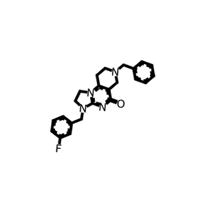 O=c1nc2n(c3c1CN(Cc1ccccc1)CC3)CCN2Cc1cccc(F)c1